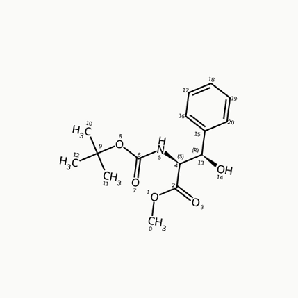 COC(=O)[C@@H](NC(=O)OC(C)(C)C)[C@H](O)c1ccccc1